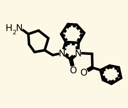 NC1CCC(Cn2c(=O)n(CC(=O)c3ccccc3)c3ccccc32)CC1